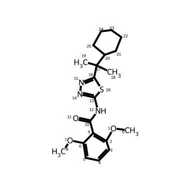 COc1cccc(OC)c1C(=O)Nc1nnc(C(C)(C)C2CCCCC2)s1